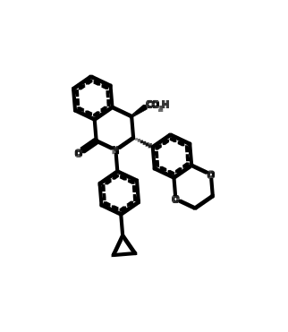 O=C(O)[C@@H]1c2ccccc2C(=O)N(c2ccc(C3CC3)cc2)[C@H]1c1ccc2c(c1)OCCO2